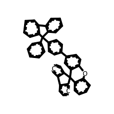 c1ccc(C2(c3ccc(-c4ccc5c(c4)C4(c6ccccc6O5)c5ccccc5-c5ccccc54)cc3)c3ccccc3-c3ccccc32)cc1